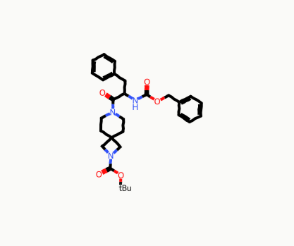 CC(C)(C)OC(=O)N1CC2(CCN(C(=O)C(Cc3ccccc3)NC(=O)OCc3ccccc3)CC2)C1